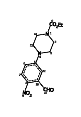 CCOC(=O)N1CCN(c2ccc([N+](=O)[O-])c(C=O)c2)CC1